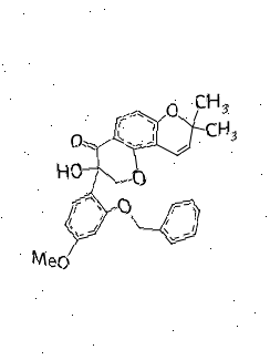 COc1ccc(C2(O)COc3c(ccc4c3C=CC(C)(C)O4)C2=O)c(OCc2ccccc2)c1